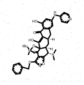 CN(C)[C@@H]1c2onc(OCc3ccccc3)c2C(=O)C2(O[Si](C)(C)C(C)(C)C)C(O)=C3C(=O)c4c(O)cc(Nc5ccncc5)cc4C[C@H]3C[C@@H]12